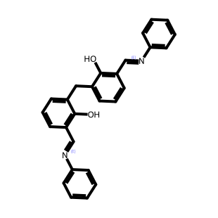 Oc1c(/C=N/c2ccccc2)cccc1Cc1cccc(/C=N/c2ccccc2)c1O